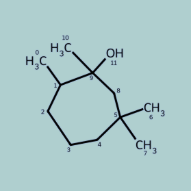 CC1CCCC(C)(C)CC1(C)O